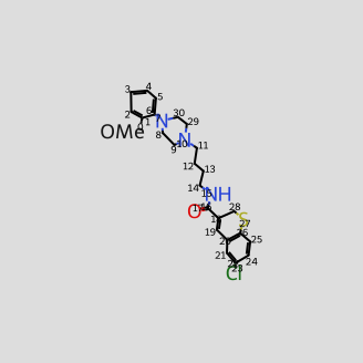 COc1ccccc1N1CCN(CCCCNC(=O)C2=Cc3cc(Cl)ccc3SC2)CC1